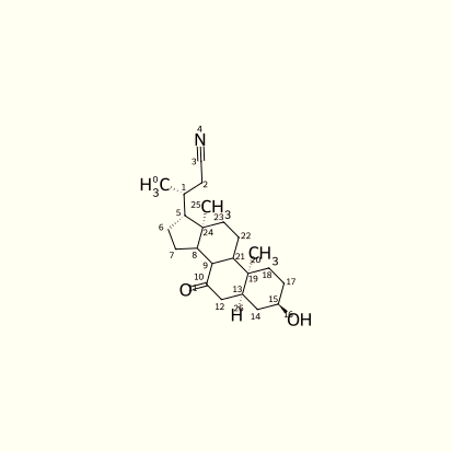 C[C@H](CC#N)[C@H]1CCC2C3C(=O)C[C@@H]4C[C@H](O)CC[C@]4(C)C3CC[C@@]21C